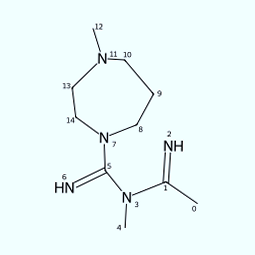 CC(=N)N(C)C(=N)N1CCCN(C)CC1